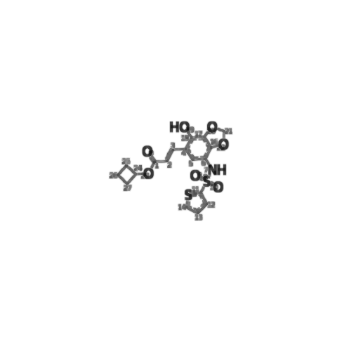 O=C(/C=C/c1cc(NS(=O)(=O)c2cccs2)c2c(c1O)OCO2)OC1CCC1